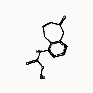 CC(C)(C)OC(=O)Nc1cccc2c1CCCC(=O)C2